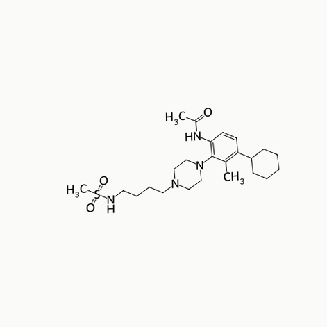 CC(=O)Nc1ccc(C2CCCCC2)c(C)c1N1CCN(CCCCNS(C)(=O)=O)CC1